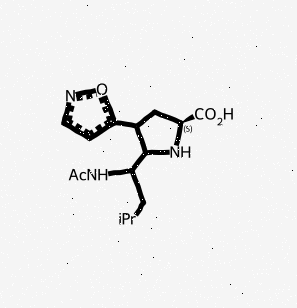 CC(=O)NC(CC(C)C)C1N[C@H](C(=O)O)CC1c1ccno1